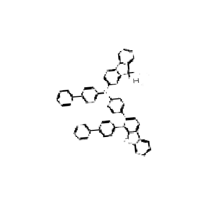 CC1(C)c2ccccc2-c2ccc(N(c3ccc(-c4ccccc4)cc3)c3ccc(-c4ccc5c(oc6ccccc65)c4-c4ccc(-c5ccccc5)cc4)cc3)cc21